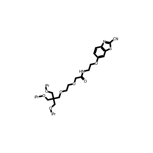 CC(C)OCC(COCCOCC(=O)NCCOc1ccc2nc(C#N)sc2c1)(COC(C)C)COC(C)C